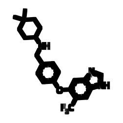 CC1(C)CCC(NCc2ccc(Oc3cc4nc[nH]c4cc3C(F)(F)F)cc2)CC1